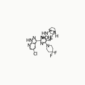 O=C(O)[C@H]1C2CCC(CC2)[C@@H]1Nc1nc(-c2n[nH]c3ncc(Cl)cc23)nc(N2CCC(F)(F)CC2)c1F